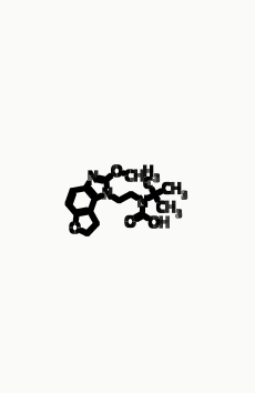 COc1nc2ccc3c(c2n1CCN(C(=O)O)C(C)(C)C)CCO3